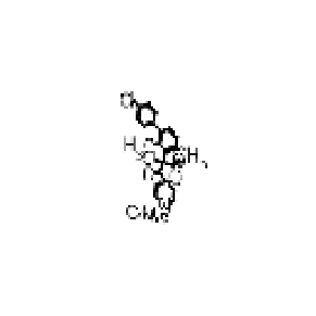 CON1CCC2(CC1)OC(=O)C(Cl)(c1c(C)ccc(-c3ccc(Cl)cc3)c1C)C2=O